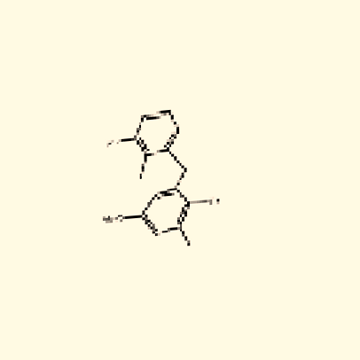 CCc1c(C)cc(OC)cc1Cc1cccc(C(C)C)c1C